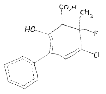 CC1(F)C(Cl)=CC(c2ccccc2)=C(O)C1C(=O)O